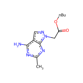 CCCCOC(=O)Cn1ncc2c(N)nc(C)nc21